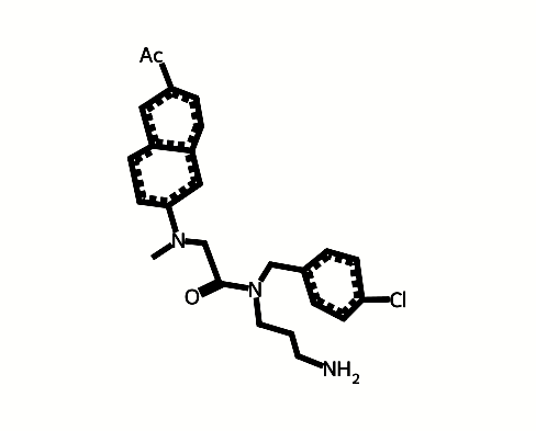 CC(=O)c1ccc2cc(N(C)CC(=O)N(CCCN)Cc3ccc(Cl)cc3)ccc2c1